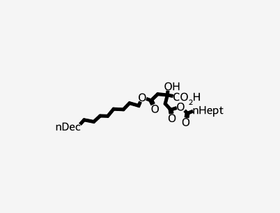 CCCCCCCCCCCCCCCCCCOC(=O)CC(O)(CC(=O)OC(=O)CCCCCCC)C(=O)O